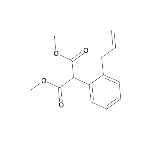 C=CCc1ccccc1C(C(=O)OC)C(=O)OC